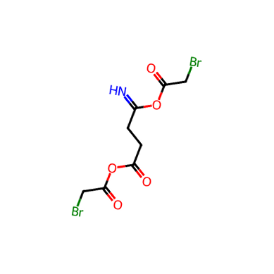 N=C(CCC(=O)OC(=O)CBr)OC(=O)CBr